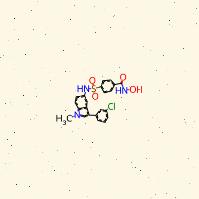 Cn1cc(-c2cccc(Cl)c2)c2cc(NS(=O)(=O)c3ccc(C(=O)NO)cc3)ccc21